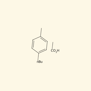 CC(=O)O.CCCCc1ccc(C)cc1